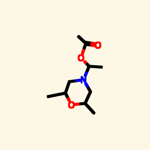 CC(=O)OC(C)N1CC(C)OC(C)C1